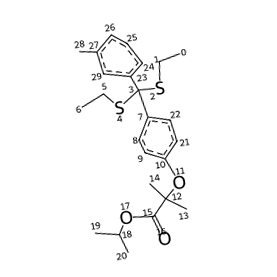 CCSC(SCC)(c1ccc(OC(C)(C)C(=O)OC(C)C)cc1)c1cccc(C)c1